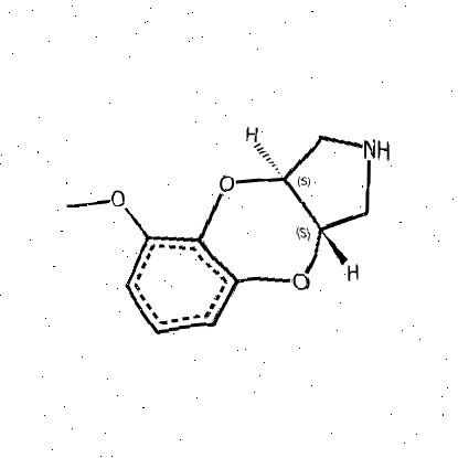 COc1cccc2c1O[C@H]1CNC[C@@H]1O2